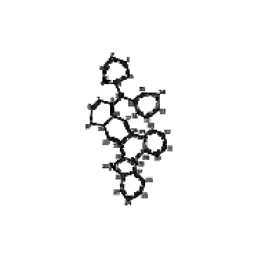 C1=CC(P(c2ccccc2)c2ccccc2)=C2C=c3c(c4nc5ccccc5n4c4ccccc34)=CC2C1